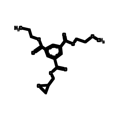 CCCOC(=O)c1cc(C(=O)OCCOC)cc(C(=O)OCC2CO2)c1